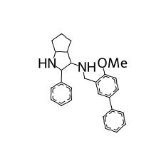 COc1ccc(-c2ccccc2)cc1CNC1C(c2ccccc2)NC2CCCC21